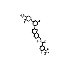 Cc1ncc(C(=O)NCc2cc3nc(-c4cc(F)cc(N5CCC(N)C(F)(F)C5)n4)ccc3cn2)cc1S(C)(=O)=O